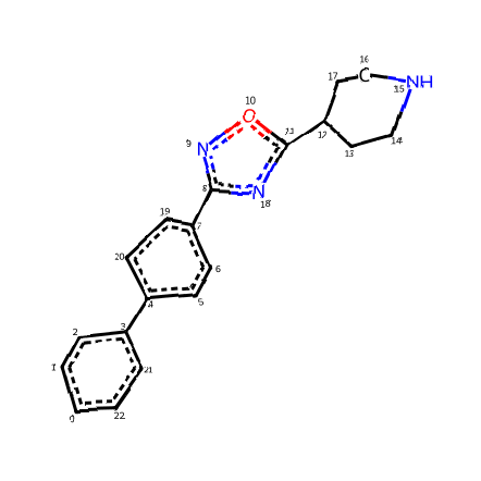 c1ccc(-c2ccc(-c3noc(C4CCNCC4)n3)cc2)cc1